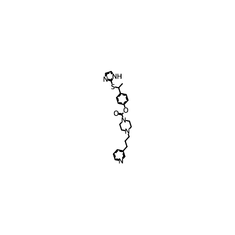 CC(Sc1ncc[nH]1)c1ccc(OC(=O)N2CCN(CCCc3cccnc3)CC2)cc1